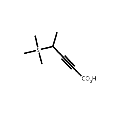 CC(C#CC(=O)O)[Si](C)(C)C